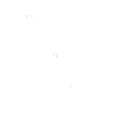 O=C(NCCN1CCOCC1)C1CCNCC1